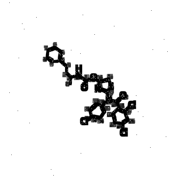 CC(CCc1ccccc1)NC(=O)Oc1csc(N(C(=O)c2ccc(Cl)cc2Cl)c2ccc(Cl)cc2)n1